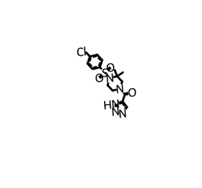 CC1(C)CN(C(=O)c2cnn[nH]2)CCN1S(=O)(=O)c1ccc(Cl)cc1